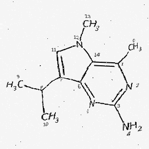 Cc1nc(N)nc2c(C(C)C)cn(C)c12